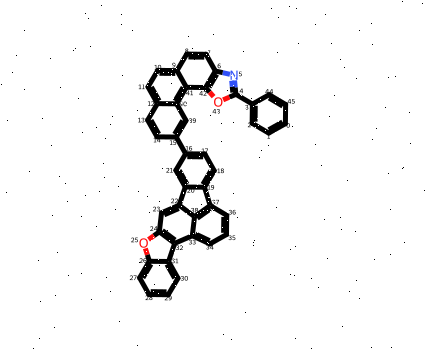 c1ccc(-c2nc3ccc4ccc5ccc(-c6ccc7c(c6)-c6cc8oc9ccccc9c8c8cccc-7c68)cc5c4c3o2)cc1